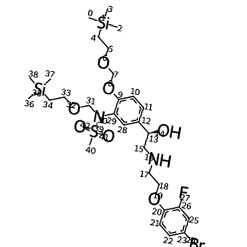 C[Si](C)(C)CCOCOc1ccc([C@@H](O)CNCCOc2ccc(Br)cc2F)cc1N(COCC[Si](C)(C)C)S(C)(=O)=O